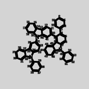 c1ccc(-c2ccc3c(c2-c2ccc4c5ccccc5n(-c5ccc6c(c5)c5ccccc5n6-c5ccccc5)c4c2)c2ccccc2n3-c2ccccc2)cc1